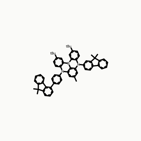 Cc1cc2c3c(c1)N(c1ccc4c(c1)C(C)(C)c1ccccc1-4)c1ccc(C(C)(C)C)cc1B3c1cc(C(C)(C)C)ccc1N2c1ccc(-c2cccc3c2-c2ccccc2C3(C)C)cc1